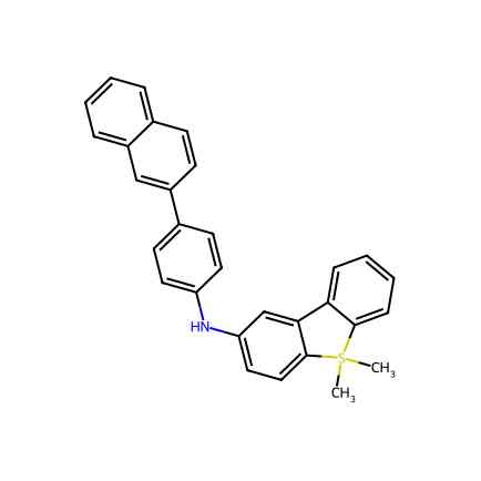 CS1(C)c2ccccc2-c2cc(Nc3ccc(-c4ccc5ccccc5c4)cc3)ccc21